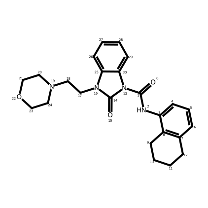 O=C(Nc1cccc2c1CCCC2)n1c(=O)n(CCN2CCOCC2)c2ccccc21